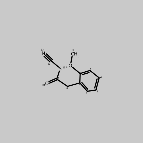 COc1ccccc1CC(=O)SC#N